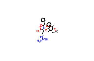 Cc1c(C)c(S(=O)(=O)N(C(=O)C(c2ccccc2)c2ccccc2)C(CCCNC(=N)N)C(=O)O)c(C)c2c1OC(C)(C)CC2